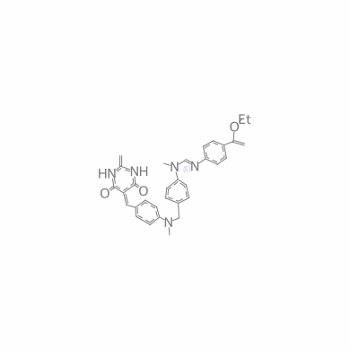 C=C(OCC)c1ccc(/N=C/N(C)c2ccc(CN(C)c3ccc(C=c4c(=O)[nH]c(=C)[nH]c4=O)cc3)cc2)cc1